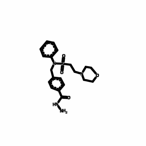 NNC(=O)c1ccc(CN(c2ccccc2)S(=O)(=O)CCN2CCOCC2)cc1